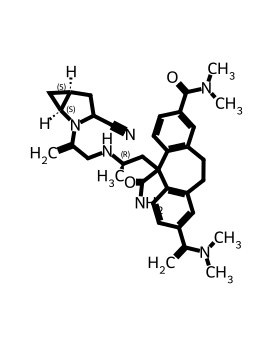 C=C(c1ccc2c(c1)CCc1cc(C(=O)N(C)C)ccc1C2(C[C@@H](C)NCC(=C)N1C(C#N)C[C@@H]2C[C@@H]21)C(N)=O)N(C)C